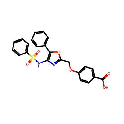 O=C(O)c1ccc(OCc2nc(NS(=O)(=O)c3ccccc3)c(-c3ccccc3)o2)cc1